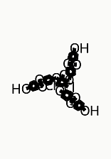 O=S(=O)(c1ccc(O)cc1)c1ccc(Oc2c(Cl)c(Oc3ccc(S(=O)(=O)c4ccc(O)cc4)cc3)c(Cl)c(Oc3ccc(S(=O)(=O)c4ccc(O)cc4)cc3)c2Cl)cc1